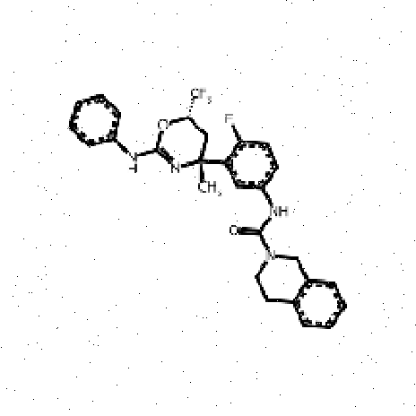 C[C@]1(c2cc(NC(=O)N3CCc4ccccc4C3)ccc2F)C[C@@H](C(F)(F)F)OC(Nc2ccccc2)=N1